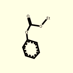 CCOC(=O)Oc1[c]cccc1